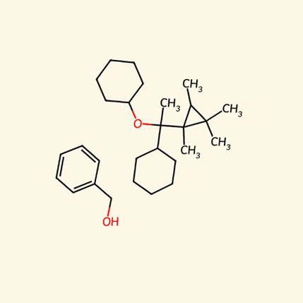 CC1C(C)(C)C1(C)C(C)(OC1CCCCC1)C1CCCCC1.OCc1ccccc1